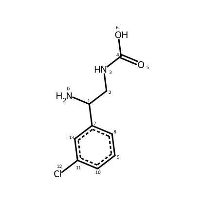 NC(CNC(=O)O)c1cccc(Cl)c1